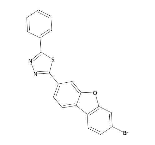 Brc1ccc2c(c1)oc1cc(-c3nnc(-c4ccccc4)s3)ccc12